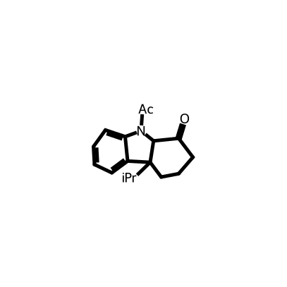 CC(=O)N1c2ccccc2C2(C(C)C)CCCC(=O)C12